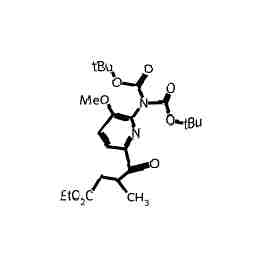 CCOC(=O)CC(C)C(=O)c1ccc(OC)c(N(C(=O)OC(C)(C)C)C(=O)OC(C)(C)C)n1